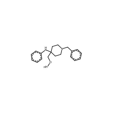 CCCOCC1(Nc2ccccc2)CCN(Cc2ccccc2)CC1